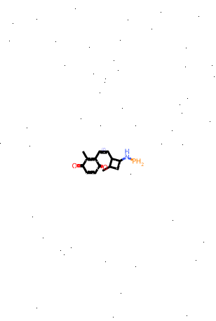 CC1=C(/C=C\C2C(C)CC2NP)C(=O)C=CC1=O